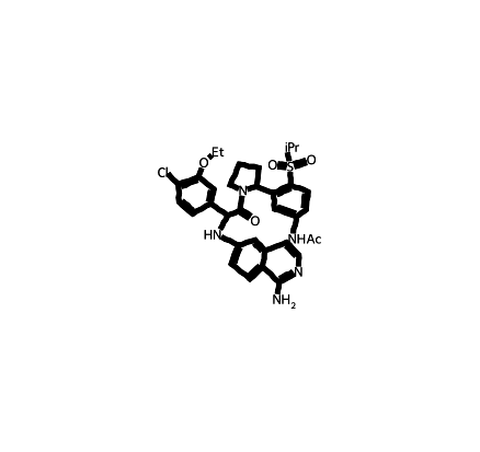 CCOc1cc(C(Nc2ccc3c(N)nccc3c2)C(=O)N2CCCC2c2cc(NC(C)=O)ccc2S(=O)(=O)C(C)C)ccc1Cl